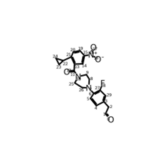 O=CCc1ccc(N2CCN(C(=O)c3cc([N+](=O)[O-])ccc3C3CC3)CC2)c(F)c1